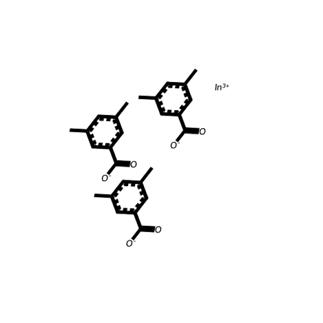 Cc1cc(C)cc(C(=O)[O-])c1.Cc1cc(C)cc(C(=O)[O-])c1.Cc1cc(C)cc(C(=O)[O-])c1.[In+3]